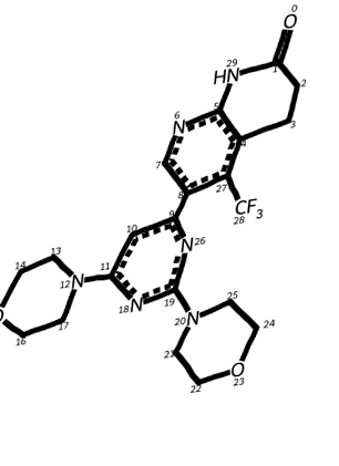 O=C1CCc2c(ncc(-c3cc(N4CCOCC4)nc(N4CCOCC4)n3)c2C(F)(F)F)N1